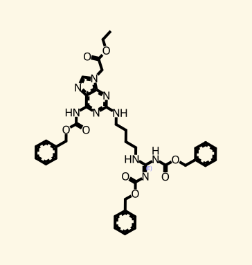 CCOC(=O)Cn1cnc2c(NC(=O)OCc3ccccc3)nc(NCCCCN/C(=N\C(=O)OCc3ccccc3)NC(=O)OCc3ccccc3)nc21